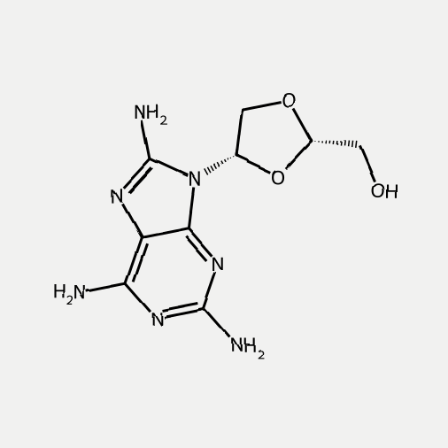 Nc1nc(N)c2nc(N)n([C@@H]3CO[C@H](CO)O3)c2n1